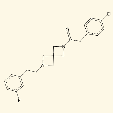 O=C(Cc1ccc(Cl)cc1)N1CC2(CN(CCc3cccc(F)c3)C2)C1